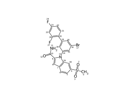 CS(=O)(=O)c1ccc2cc(C(N)=O)n(-c3cc(Br)cc(-c4ccc(F)cc4F)c3)c2c1